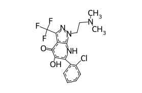 CN(C)CCn1nc(C(F)(F)F)c2c(=O)c(O)c(-c3ccccc3Cl)[nH]c21